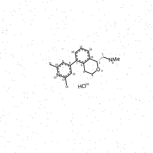 CNC[C@@H]1OCCc2c(-c3cc(C)nc(C)c3)cccc21.Cl